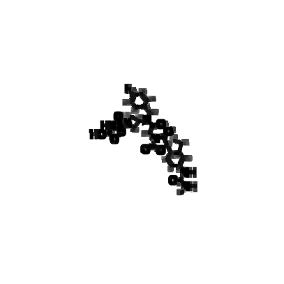 CNC(=O)Nc1ccc2c(c1)CC[C@@]21OC(=O)N(CC(=O)N(Cc2ccc(F)cc2)C2CN(S(=O)(=O)NC(=O)O)C2)C1=O